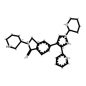 O=C1c2ccc(-c3cn(C4CCCCO4)nc3-c3ccccn3)cc2CN1C1CCCNC1